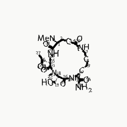 CN[C@H]1CCC(=O)NCCCC[C@@H](C(N)=O)NC(=O)[C@H](CO)N(C)C(=O)[C@H](C(C)O)NC1=O